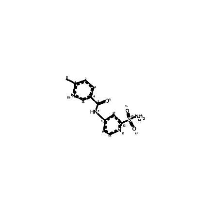 Cc1ccc(C(=O)Nc2ccnc(S(N)(=O)=O)c2)cn1